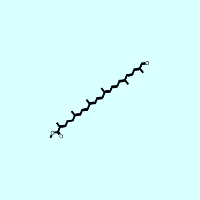 COC(=O)/C(C)=C/CC/C(C)=C/C=C/C(C)=C/C=C/C(C)=C/C=C/C=C(C)/C=C/C=C(\C)C=O